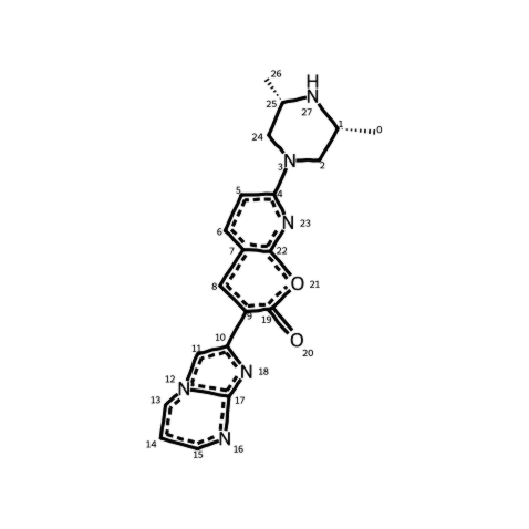 C[C@@H]1CN(c2ccc3cc(-c4cn5cccnc5n4)c(=O)oc3n2)C[C@H](C)N1